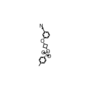 Cc1ccc(S(=O)(=O)OC2CC(Oc3cccc(C#N)c3)C2)cc1